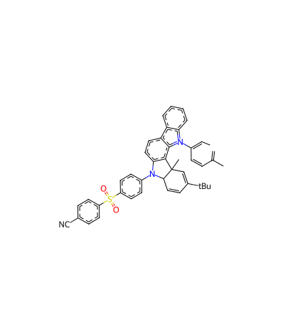 C=C(C)/C=C\C(=C/C)n1c2ccccc2c2ccc3c(c21)C1(C)C=C(C(C)(C)C)C=CC1N3c1ccc(S(=O)(=O)c2ccc(C#N)cc2)cc1